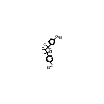 CCOc1ccc(C(Cl)(Cl)C(=O)C(Cl)(Cl)c2ccc(OCC)cc2)cc1